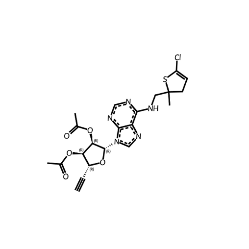 C#C[C@H]1O[C@@H](n2cnc3c(NCC4(C)CC=C(Cl)S4)ncnc32)[C@H](OC(C)=O)[C@@H]1OC(C)=O